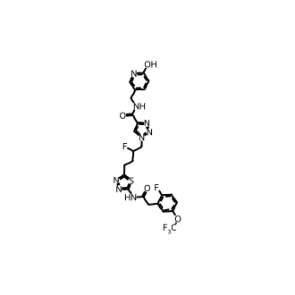 O=C(Cc1cc(OC(F)(F)F)ccc1F)Nc1nnc(CCC(F)Cn2cc(C(=O)NCc3ccc(O)nc3)nn2)s1